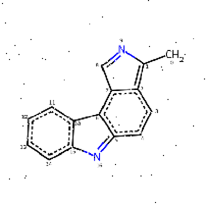 [CH2]C1=c2ccc3c(c2C=N1)-c1ccccc1N=3